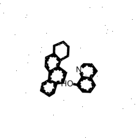 Oc1cccc2cccnc12.c1ccc2c(c1)ccc1c3c(ccc12)CCCC3